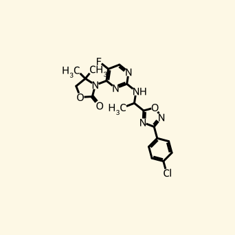 CC(Nc1ncc(F)c(N2C(=O)OCC2(C)C)n1)c1nc(-c2ccc(Cl)cc2)no1